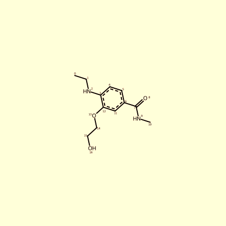 CCNc1ccc(C(=O)NC)cc1OCCO